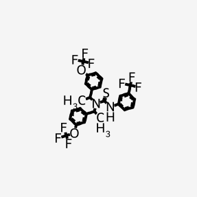 CC(c1cccc(OC(F)(F)F)c1)N(C(=S)Nc1cccc(C(F)(F)F)c1)C(C)c1cccc(OC(F)(F)F)c1